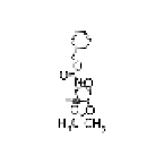 CC1(C)OC2C3CC([C@@H]2O1)N(C(=O)OCc1ccccc1)O3